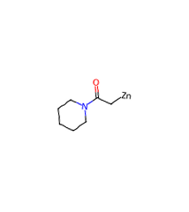 O=C([CH2][Zn])N1CCCCC1